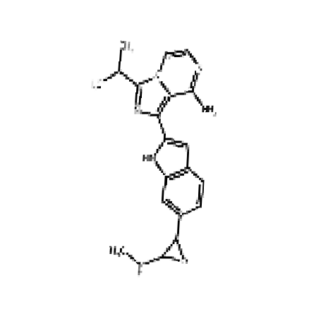 CNC1OC1c1ccc2cc(-c3nc(C(C)C)n4ccnc(N)c34)[nH]c2c1